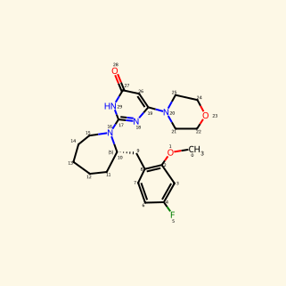 COc1cc(F)ccc1C[C@@H]1CCCCCN1c1nc(N2CCOCC2)cc(=O)[nH]1